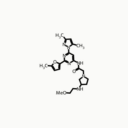 COCCNC1CCN(CC(=O)Nc2cc(-n3nc(C)cc3C)nc(-c3ccc(C)o3)n2)C1